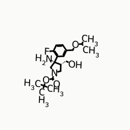 CC(C)OCc1ccc(F)c([C@]2(N)CN(C(=O)OC(C)(C)C)C[C@H]2CO)c1